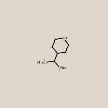 CCCCCCCC(CCCCCC)C1CCNCC1